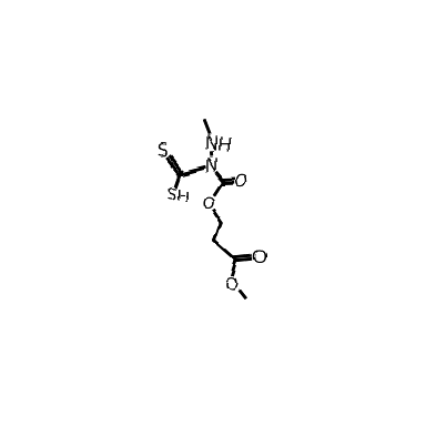 CNN(C(=O)OCCC(=O)OC)C(=S)S